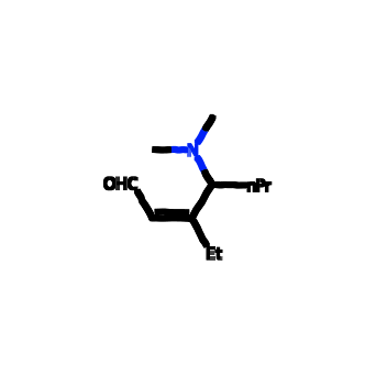 CCCC(/C(=C\C=O)CC)N(C)C